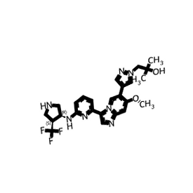 COc1cc2ncc(-c3cccc(N[C@H]4CNC[C@@H]4C(F)(F)F)n3)n2cc1-c1cnn(CC(C)(C)O)c1